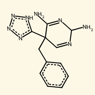 NC1=NC(N)N=CC1(Cc1ccccc1)c1nnn[nH]1